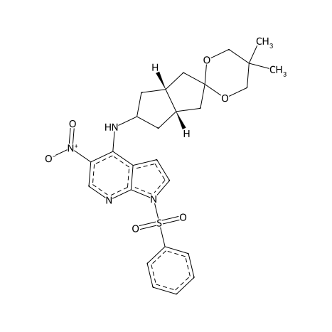 CC1(C)COC2(C[C@H]3CC(Nc4c([N+](=O)[O-])cnc5c4ccn5S(=O)(=O)c4ccccc4)C[C@H]3C2)OC1